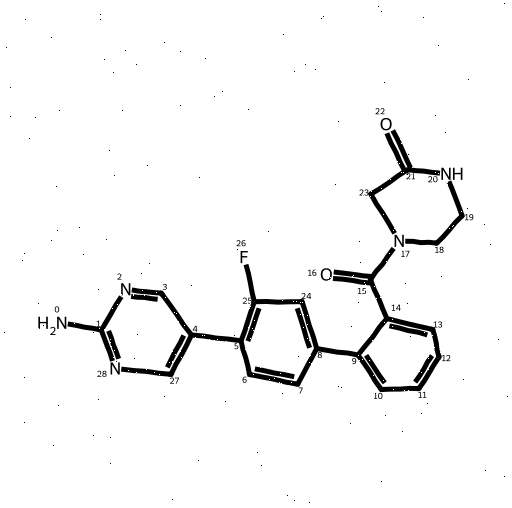 Nc1ncc(-c2ccc(-c3ccccc3C(=O)N3CCNC(=O)C3)cc2F)cn1